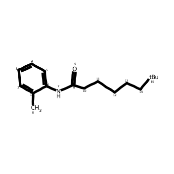 Cc1ccccc1NC(=O)CCCCCC(C)(C)C